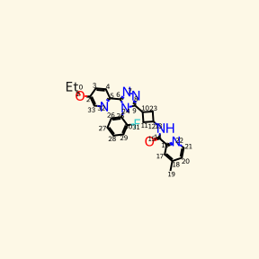 CCOc1ccc(-c2nnc(C3CC(NC(=O)c4cc(C)ccn4)C3)n2-c2ccccc2F)nc1